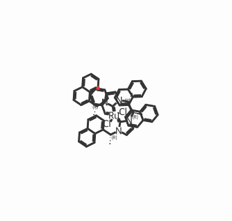 C[C@H](c1cccc2ccccc12)n1ccn([C@H](C)c2cccc3ccccc23)[c]1=[Ru]([Cl])([Cl])(=[CH]c1ccccc1)=[c]1n([C@H](C)c2cccc3ccccc23)ccn1[C@H](C)c1cccc2ccccc12